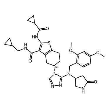 COc1ccc(CN(c2nncn2[C@H]2CCc3sc(NC(=O)C4CC4)c(C(=O)NCC4CC4)c3C2)C2CNC(=O)C2)c(OC)c1